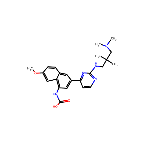 COc1ccc2cc(-c3ccnc(NCC(C)(C)CN(C)C)n3)cc(NC(=O)O)c2c1